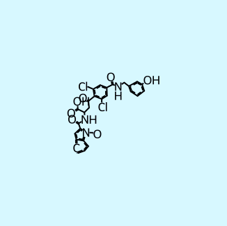 O=Cn1c(C(=O)NC(CC(=O)c2c(Cl)cc(C(=O)NCc3cccc(O)c3)cc2Cl)C(=O)O)cc2ccccc21